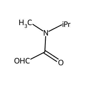 CC(C)N(C)C(=O)C=O